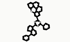 c1ccc(-c2nc(-c3cc4c5c(ccc6ccc7cccc(c7c65)O4)c3)nc(-c3cccc4c(-c5ccccc5)cccc34)n2)cc1